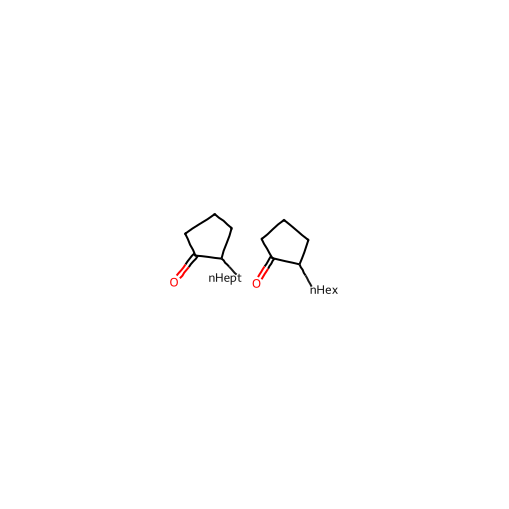 CCCCCCC1CCCC1=O.CCCCCCCC1CCCC1=O